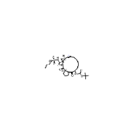 CCCNS(=O)(=O)NC(=O)[C@@]12C[C@H]1/C=C\CCCCCC(NC(=O)OC(C)(C)C)C(=O)N1CCC[C@H]1C(=O)N2